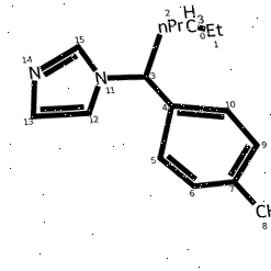 CCC.CCCC(c1ccc(C=O)cc1)n1ccnc1